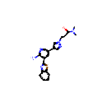 CN(C)C(=O)CCn1cc(-c2cnc(N)c(-c3nc4ccccc4s3)c2)cn1